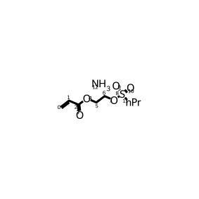 C=CC(=O)OCCOS(=O)(=O)CCC.N